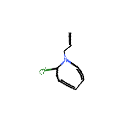 C=CCN1C=CC=CC1Cl